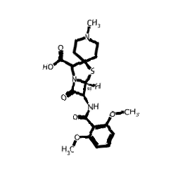 COc1cccc(OC)c1C(=O)NC1C(=O)N2C(C(=O)O)C3(CCN(C)CC3)S[C@H]12